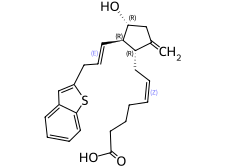 C=C1C[C@@H](O)[C@H](/C=C/Cc2cc3ccccc3s2)[C@H]1C/C=C\CCCC(=O)O